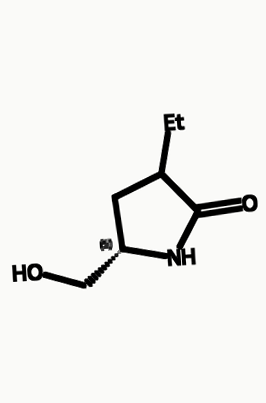 CCC1C[C@@H](CO)NC1=O